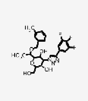 Cc1cccc(CO[C@H](C(=O)O)[C@@H]2OC(CO)[C@H](O)C(n3cc(-c4cc(F)c(F)c(F)c4)nn3)C2O)c1